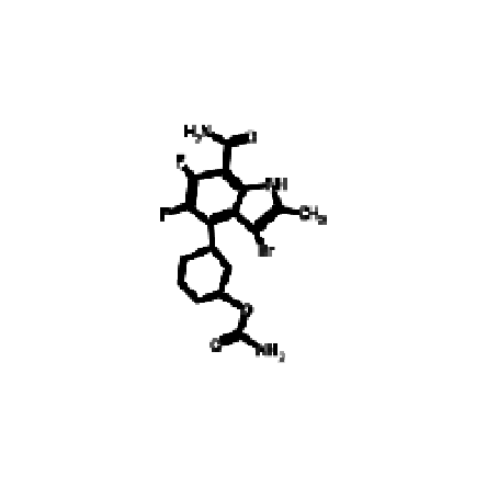 Cc1[nH]c2c(C(N)=O)c(F)c(F)c(C3CCCC(OC(N)=O)C3)c2c1Br